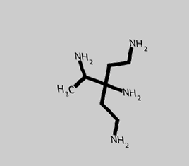 CC(N)C(N)(CCN)CCN